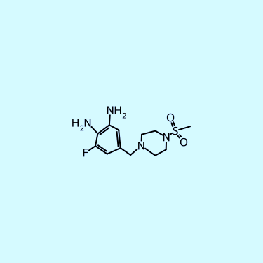 CS(=O)(=O)N1CCN(Cc2cc(N)c(N)c(F)c2)CC1